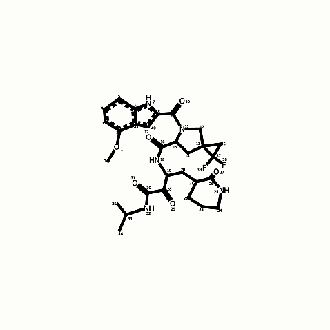 COc1cccc2[nH]c(C(=O)N3CC4(CC3C(=O)NC(CC3CCCNC3=O)C(=O)C(=O)NC(C)C)CC4(F)F)cc12